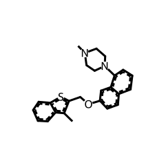 Cc1c(COc2ccc3cccc(N4CCN(C)CC4)c3c2)sc2ccccc12